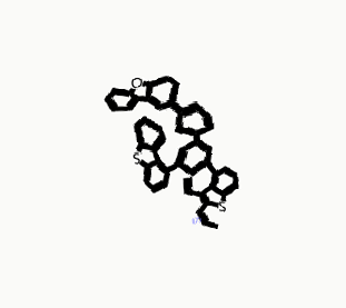 C=Cc1c(/C=C\C)sc2cccc(-c3cc(-c4cccc(-c5ccc6oc7ccccc7c6c5)c4)cc(-c4cccc5sc6ccccc6c45)c3)c12